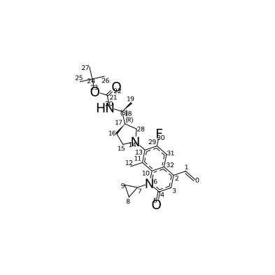 C=Cc1cc(=O)n(C2CC2)c2c(C)c(N3CC[C@@H]([C@H](C)NC(=O)OC(C)(C)C)C3)c(F)cc12